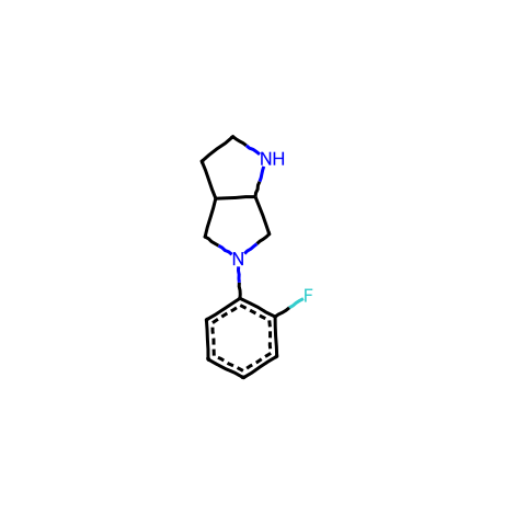 Fc1ccccc1N1CC2CCNC2C1